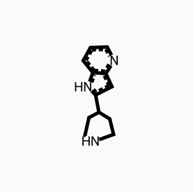 c1cnc2cc(C3CCNCC3)[nH]c2c1